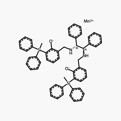 C[Si](c1ccccc1)(c1ccccc1)c1cccc(CN[C@H](c2ccccc2)[C@H](NCc2cccc([Si](C)(c3ccccc3)c3ccccc3)c2[O-])c2ccccc2)c1[O-].[Mn+2]